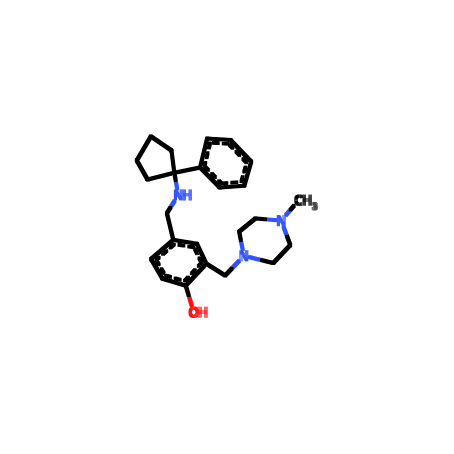 CN1CCN(Cc2cc(CNC3(c4ccccc4)CCCC3)ccc2O)CC1